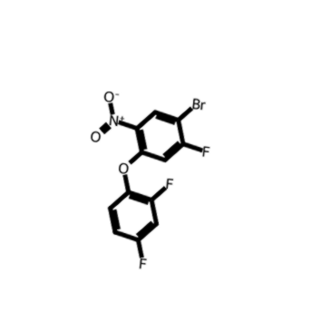 O=[N+]([O-])c1cc(Br)c(F)cc1Oc1ccc(F)cc1F